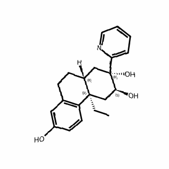 CC[C@@]12C[C@H](O)[C@](O)(c3ccccn3)C[C@H]1CCc1cc(O)ccc12